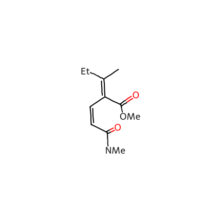 CC/C(C)=C(\C=C/C(=O)NC)C(=O)OC